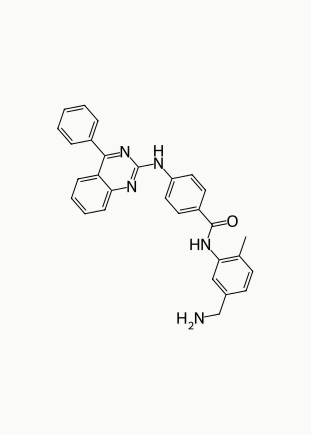 Cc1ccc(CN)cc1NC(=O)c1ccc(Nc2nc(-c3ccccc3)c3ccccc3n2)cc1